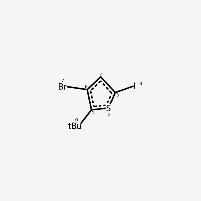 CC(C)(C)c1sc(I)cc1Br